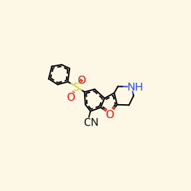 N#Cc1cc(S(=O)(=O)c2ccccc2)cc2c3c(oc12)CCNC3